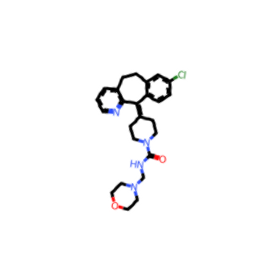 O=C(NCN1CCOCC1)N1CCC(=C2c3ccc(Cl)cc3CCc3cccnc32)CC1